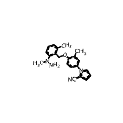 Cc1cc(-n2cccc2C#N)ccc1OCc1c(C)cccc1N(C)N